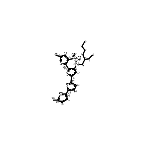 CCCCC(CC)CN1c2cc(-c3ccc(-c4ccc(C)s4)s3)sc2-c2sc(C)cc2S1(=O)=O